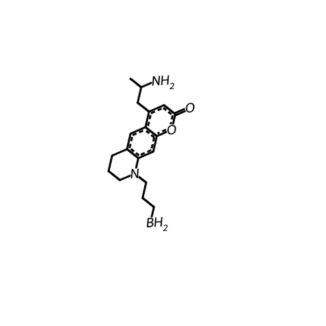 BCCCN1CCCc2cc3c(CC(C)N)cc(=O)oc3cc21